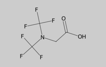 O=C(O)CN(C(F)(F)F)C(F)(F)F